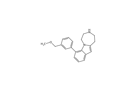 COCc1cccc(-c2cccc3cc4n(c23)CCNCC4)c1